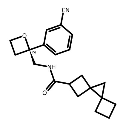 N#Cc1cccc([C@]2(CNC(=O)C3CC4(C3)CC43CCC3)CCO2)c1